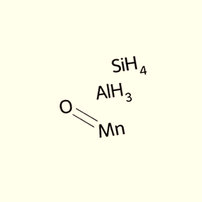 [AlH3].[O]=[Mn].[SiH4]